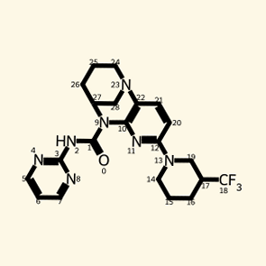 O=C(Nc1ncccn1)N1c2nc(N3CCCC(C(F)(F)F)C3)ccc2N2CCCC1C2